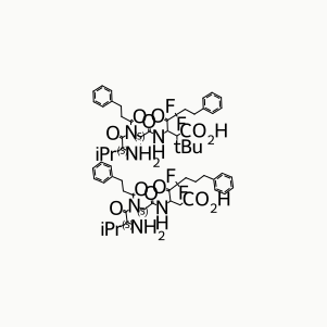 CC(C)[C@H](N)C(=O)N(C(=O)CCc1ccccc1)[C@@H](C)C(=O)NC(C(=O)C(F)(F)CCc1ccccc1)C(C(=O)O)C(C)(C)C.CC(C)[C@H](N)C(=O)N(C(=O)CCc1ccccc1)[C@@H](C)C(=O)NC(CC(=O)O)C(=O)C(F)(F)CCCc1ccccc1